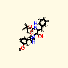 COc1cccc(C(C)(C)NC[C@@H](O)[C@H](Cc2ccccc2)NC(=O)OC(C)(C)C)c1